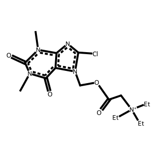 CC[N+](CC)(CC)CC(=O)OCn1c(Cl)nc2c1c(=O)n(C)c(=O)n2C